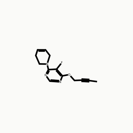 CC#CCOc1ncnc(N2CC=CCC2)c1F